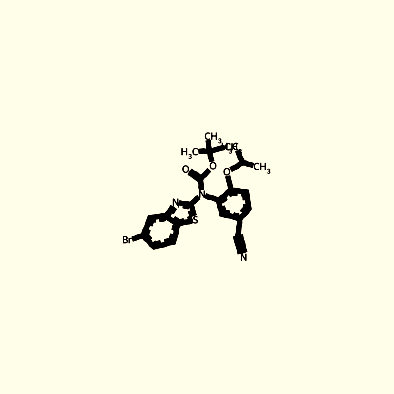 CC(C)Oc1ccc(C#N)cc1N(C(=O)OC(C)(C)C)c1nc2cc(Br)ccc2s1